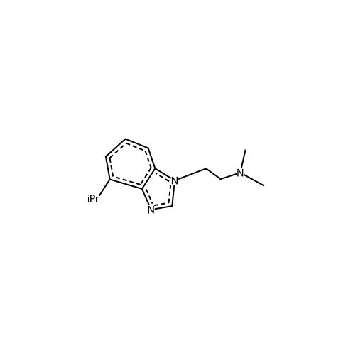 CC(C)c1cccc2c1ncn2CCN(C)C